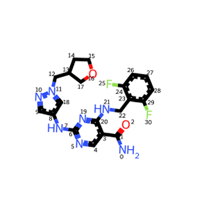 NC(=O)c1cnc(Nc2cnn(CC3CCOC3)c2)nc1NCc1c(F)cccc1F